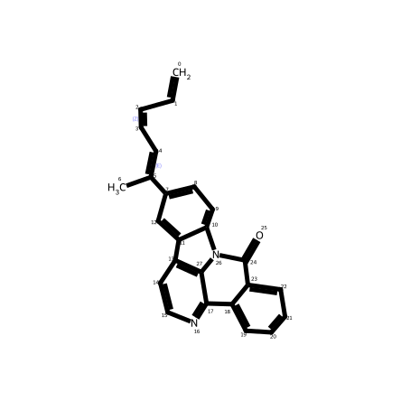 C=C/C=C\C=C(/C)c1ccc2c(c1)c1ccnc3c4ccccc4c(=O)n2c13